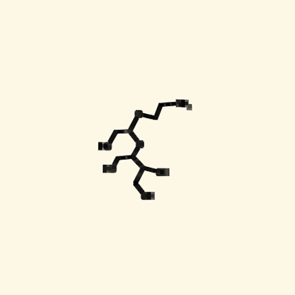 NCCOC(CO)OC(CO)C(O)CO